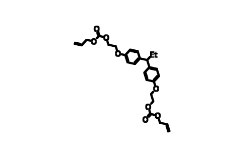 C=CCOC(=O)OCCOc1ccc(C(CC)c2ccc(OCCOC(=O)OCC=C)cc2)cc1